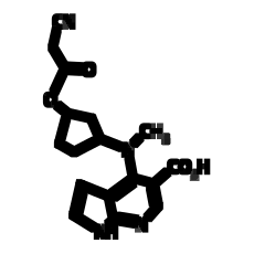 CN(c1c(C(=O)O)cnc2[nH]ccc12)C1CCC(OC(=O)CC#N)C1